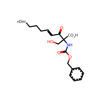 CCCCCCCCCCCCC/C=C/C(=O)C(CO)(NC(=O)OCc1ccccc1)C(=O)O